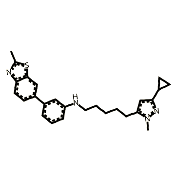 Cc1nc2ccc(-c3cccc(NCCCCCc4cc(C5CC5)nn4C)c3)cc2s1